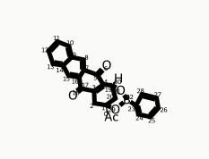 CC(=O)[C@]12CC3=C(C(=O)c4cc5ccccc5cc4C3=O)[C@H](C1)OB(c1ccccc1)O2